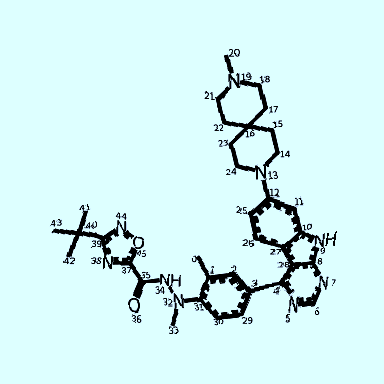 Cc1cc(-c2ncnc3[nH]c4cc(N5CCC6(CCN(C)CC6)CC5)ccc4c23)ccc1N(C)NC(=O)c1nc(C(C)(C)C)no1